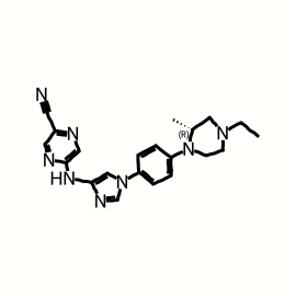 CCN1CCN(c2ccc(-n3cnc(Nc4cnc(C#N)cn4)c3)cc2)[C@H](C)C1